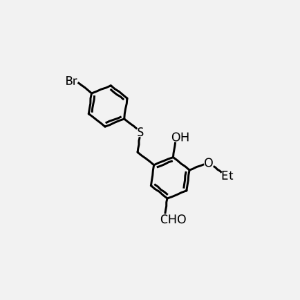 CCOc1cc(C=O)cc(CSc2ccc(Br)cc2)c1O